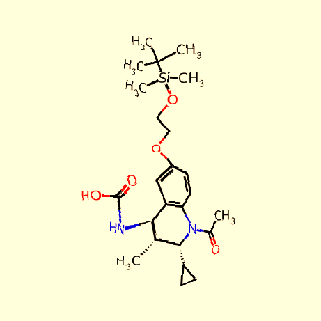 CC(=O)N1c2ccc(OCCO[Si](C)(C)C(C)(C)C)cc2[C@H](NC(=O)O)[C@@H](C)[C@H]1C1CC1